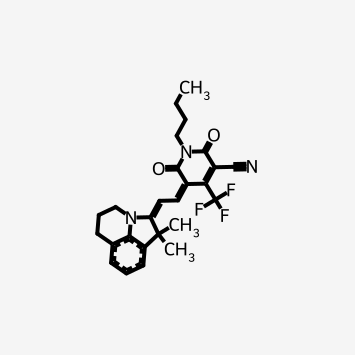 CCCCN1C(=O)C(C#N)=C(C(F)(F)F)/C(=C/C=C2/N3CCCc4cccc(c43)C2(C)C)C1=O